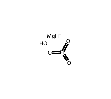 [MgH+].[OH-].[O]=[Er](=[O])=[O]